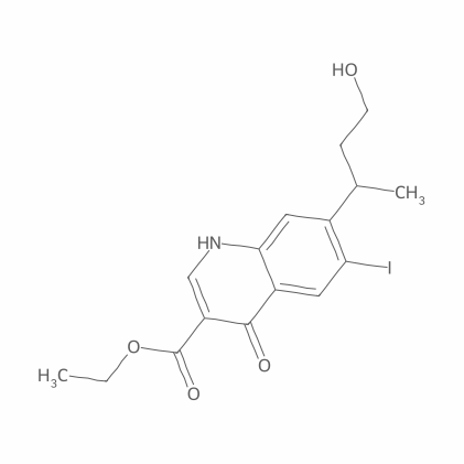 CCOC(=O)c1c[nH]c2cc(C(C)CCO)c(I)cc2c1=O